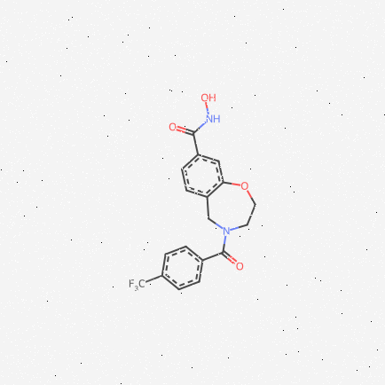 O=C(NO)c1ccc2c(c1)OCCN(C(=O)c1ccc(C(F)(F)F)cc1)C2